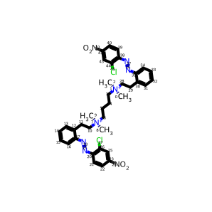 C[N+](C)(CCCC[N+](C)(C)CCc1ccccc1/N=N/c1ccc([N+](=O)[O-])cc1Cl)CCc1ccccc1/N=N/c1ccc([N+](=O)[O-])cc1Cl